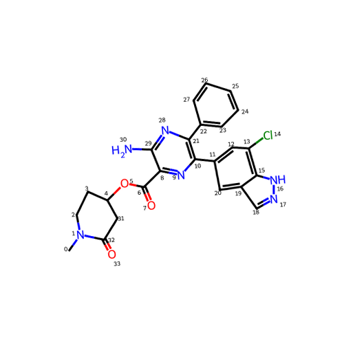 CN1CCC(OC(=O)c2nc(-c3cc(Cl)c4[nH]ncc4c3)c(-c3ccccc3)nc2N)CC1=O